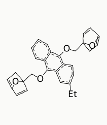 CCc1ccc2c(OCC34C=CC(=CC3)O4)c3ccccc3c(OCC34C=CC(=CC3)O4)c2c1